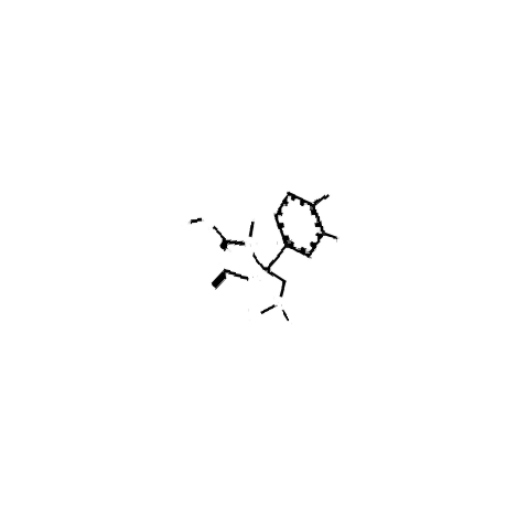 C=CC[C@@](CN(C)C(C)=O)(c1ccc(Cl)c(Cl)c1)N(C)C(=O)OC(C)(C)C